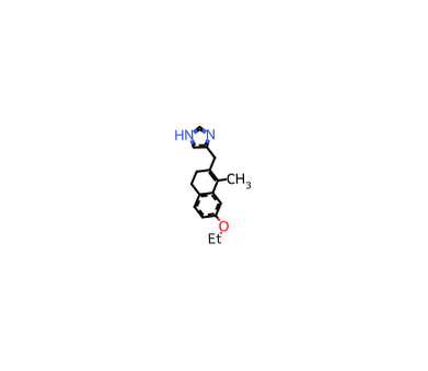 CCOc1ccc2c(c1)C(C)=C(Cc1c[nH]cn1)CC2